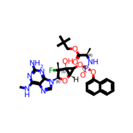 CNc1nc(N)nc2c1ncn2[C@@H]1O[C@@H]2C(O[P@@](=O)(N[C@H](C)C(=O)OCC(C)(C)C)Oc3cccc4ccccc34)[C@]2(O)[C@@]1(C)F